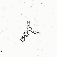 OCC1CNCC1c1ccc(N2CCCC2)cc1